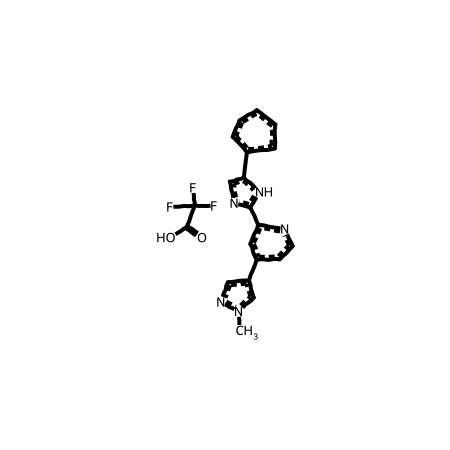 Cn1cc(-c2ccnc(-c3ncc(-c4ccccc4)[nH]3)c2)cn1.O=C(O)C(F)(F)F